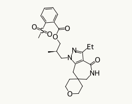 CCc1nn(C[C@@H](C)COC(=O)c2ccccc2S(C)(=O)=O)c2c1C(=O)NCC1(CCOCC1)C2